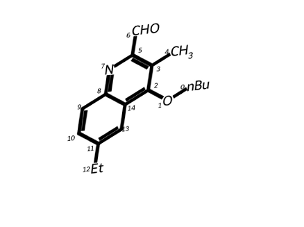 CCCCOc1c(C)c(C=O)nc2ccc(CC)cc12